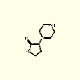 O=C1NCCC1N1CCNCC1